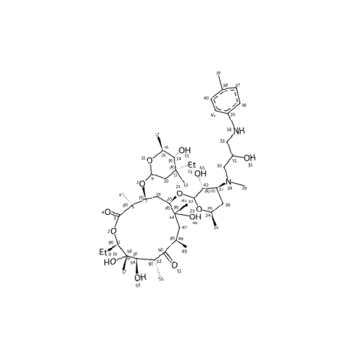 CC[C@H]1OC(=O)[C@H](C)[C@@H](OC2C[C@@](C)(CC)[C@@H](O)[C@H](C)O2)C[C@@H](OC2O[C@H](C)C[C@H](N(C)CC(O)CNc3ccc(C)cc3)[C@H]2O)[C@](C)(O)C[C@@H](C)C(=O)[C@H](C)[C@@H](O)[C@]1(C)O